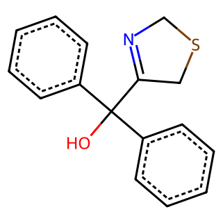 OC(C1=NCSC1)(c1ccccc1)c1ccccc1